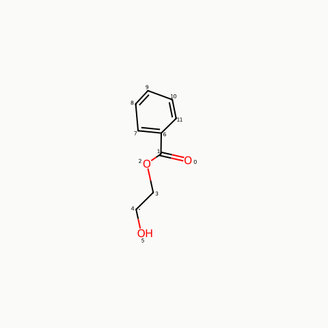 O=C(OC[CH]O)c1ccccc1